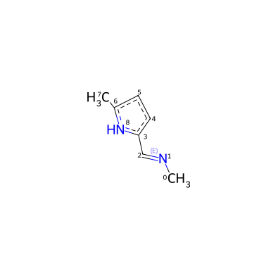 C/N=C/c1ccc(C)[nH]1